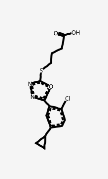 O=C(O)CCCSc1nnc(-c2cc(C3CC3)ccc2Cl)o1